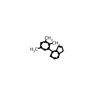 Cc1cc(C)c(C)c(-c2cccc3c2C=C[CH]3)c1